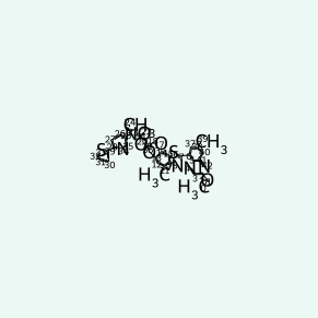 COc1cnc2c(-c3nc4c(C)cc5c(c4s3)OC[C@@H](OC(=O)N(C)c3ccc(-c4cccs4)nc3)O5)cc(C)cc2n1